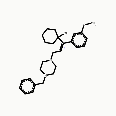 COc1cccc(/C(=C/CN2CCN(Cc3ccccc3)CC2)C2(O)CCCCC2)c1